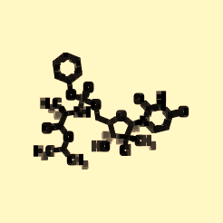 CC(C)OC(=O)[C@@H](C)NP(=O)(OCC1O[C@@H](n2ccc(=O)[nH]c2=O)[C@](C)(Cl)[C@@H]1O)Oc1ccccc1